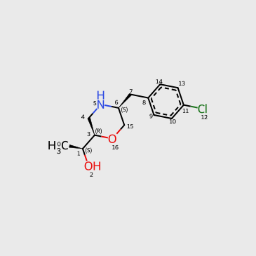 C[C@H](O)[C@H]1CN[C@@H](Cc2ccc(Cl)cc2)CO1